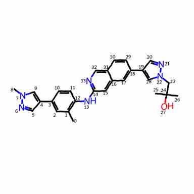 Cc1cc(-c2cnn(C)c2)ccc1Nc1cc2cc(-c3cnn(CC(C)(C)O)c3)ccc2cn1